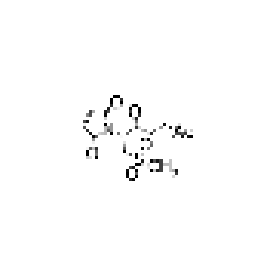 CC(=O)CCC(=O)C(CS(C)(=O)=O)N1C(=O)C=CC1=O